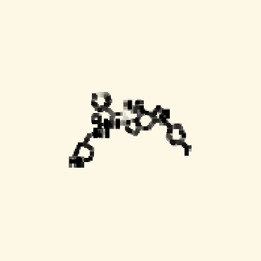 C[C@@H]1C2=C(CC[C@@H]2CC(NC(=O)NCC2CCNCC2)c2ccccc2)Cc2c1cnn2-c1ccc(F)cc1